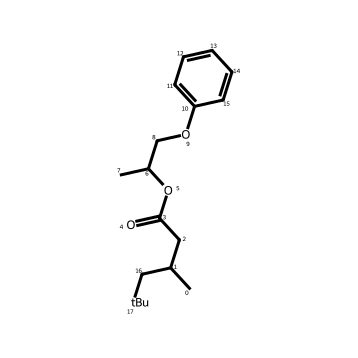 CC(CC(=O)OC(C)COc1ccccc1)CC(C)(C)C